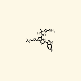 CC(NC(=O)c1cn(COCC[Si](C)(C)C)c2ncc(-c3nn(C)c4cc(F)ccc34)nc12)C1CC(N)C1